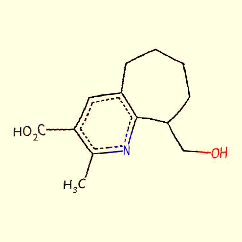 Cc1nc2c(cc1C(=O)O)CCCCC2CO